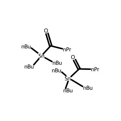 CCC[CH2][Sn]([CH2]CCC)([CH2]CCC)[C](=O)CCC.CCC[CH2][Sn]([CH2]CCC)([CH2]CCC)[C](=O)CCC